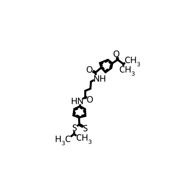 CC(C)SC(=S)c1ccc(NC(=O)CCCNC(=O)c2ccc(C(=O)C(C)C)cc2)cc1